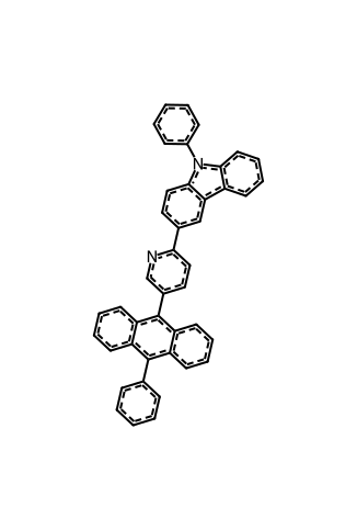 c1ccc(-c2c3ccccc3c(-c3ccc(-c4ccc5c(c4)c4ccccc4n5-c4ccccc4)nc3)c3ccccc23)cc1